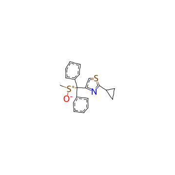 C[S+]([O-])C(c1ccccc1)(c1ccccc1)c1csc(C2CC2)n1